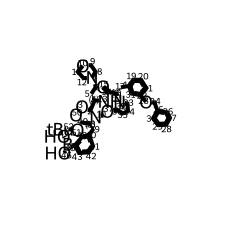 CN(C(=O)[C@H](CCN1CCOCC1)NC(=O)[C@H](Cc1cccc(OCc2ccccc2)c1)N1CCCC1=O)[C@@H](Cc1cccc(B(O)O)c1)C(=O)OC(C)(C)C